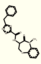 CN1C(=O)C(NC(=O)c2nnc(Cc3ccccc3)o2)COc2ccccc21